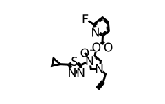 C#CCN1CC(OC(=O)c2cccc(F)n2)[N+]([O-])(c2nnc(C3CC3)s2)C1